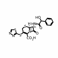 O=C(O)C1=C(Sc2nncs2)CS[C@H]2[C@H](NC(=O)C(O)c3ccccc3)C(=O)N12